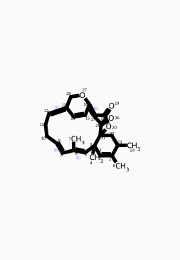 CC1=CC2(C)/C=C(C)/C=C/CC/C=C3C=C/C(=C4\C(=O)OC2(CC1C)C4=O)OC/3